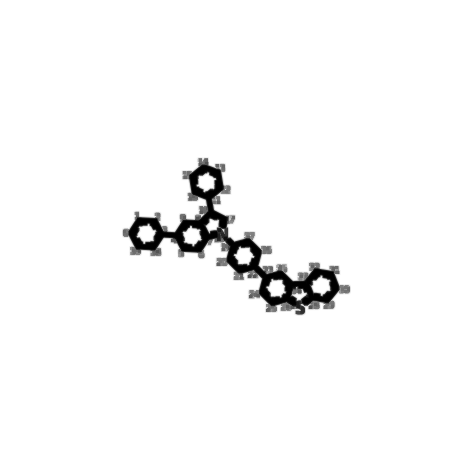 c1ccc(-c2ccc3c(c2)c(-c2ccccc2)cn3-c2ccc(-c3ccc4sc5ccccc5c4c3)cc2)cc1